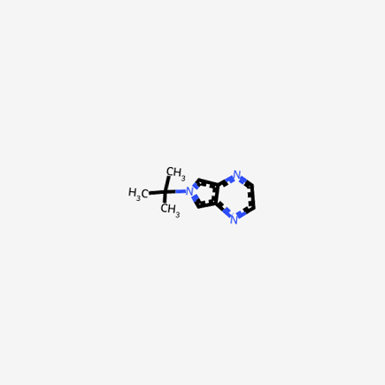 CC(C)(C)n1cc2nccnc2c1